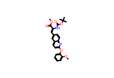 COC(=O)C(=Cc1ccc2nc(Oc3ccccc3OC)ccc2c1)NC(=O)OC(C)(C)C